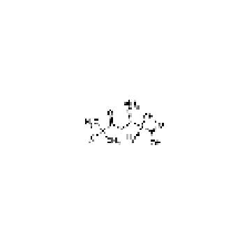 CC(C)(C)C(=O)CC(=O)C(C)(C)C(=O)O.[AlH3]